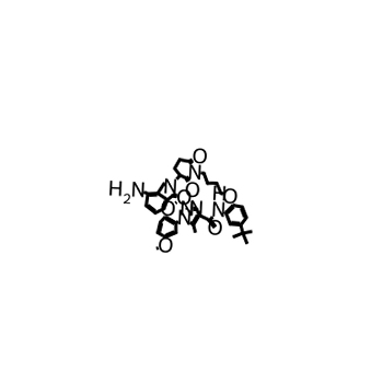 COc1ccc(OC)c(-n2nnc(C(=O)Nc3cc(C(C)(C)C)ccc3OCCCCN3C(=O)CCC(N4Cc5c(N)cccc5C4=O)C3=O)c2C)c1